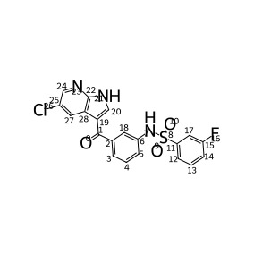 O=C(c1cccc(NS(=O)(=O)c2cccc(F)c2)c1)c1c[nH]c2ncc(Cl)cc12